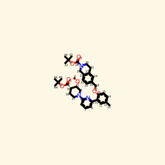 CO[C@@H]1CN(c2cccc(-c3cc(C)ccc3OCc3ccc4c(c3)CCN(C(=O)OC(C)(C)C)C4)n2)CC[C@@H]1C(=O)OC(C)(C)C